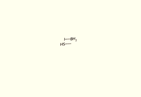 BI.CS